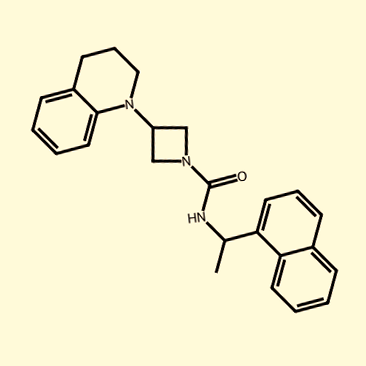 CC(NC(=O)N1CC(N2CCCc3ccccc32)C1)c1cccc2ccccc12